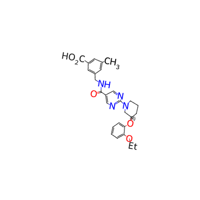 CCOc1ccccc1O[C@@H]1CCCN(c2ncc(C(=O)NCc3cc(C)cc(C(=O)O)c3)cn2)C1